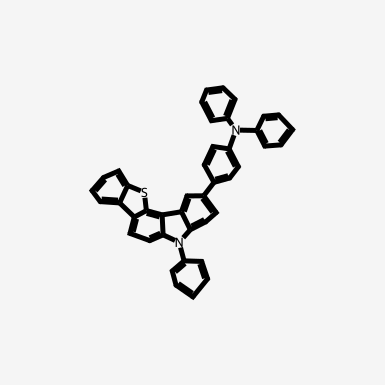 c1ccc(N(c2ccccc2)c2ccc(-c3ccc4c(c3)c3c5sc6ccccc6c5ccc3n4-c3ccccc3)cc2)cc1